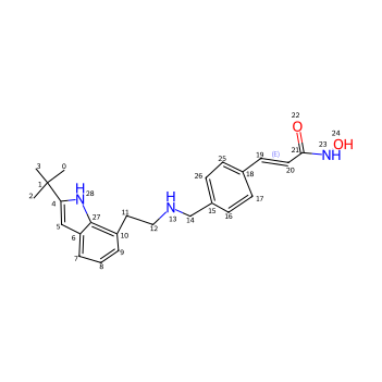 CC(C)(C)c1cc2cccc(CCNCc3ccc(/C=C/C(=O)NO)cc3)c2[nH]1